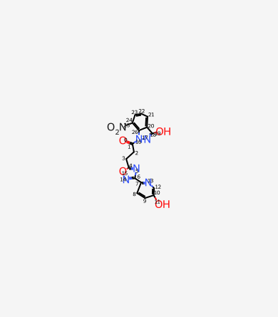 O=C(CCc1nc(-c2ccc(O)cn2)no1)n1nc(O)c2cccc([N+](=O)[O-])c21